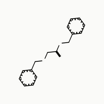 O=C([CH]OCc1ccccc1)OCc1ccccc1